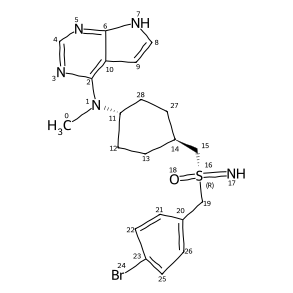 CN(c1ncnc2[nH]ccc12)[C@H]1CC[C@H](C[S@@](=N)(=O)Cc2ccc(Br)cc2)CC1